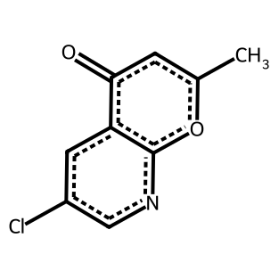 Cc1cc(=O)c2cc(Cl)cnc2o1